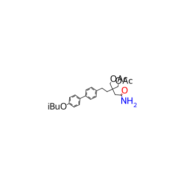 CC(=O)OCC(CCc1ccc(-c2ccc(OCC(C)C)cc2)cc1)(COC(C)=O)CC(N)=O